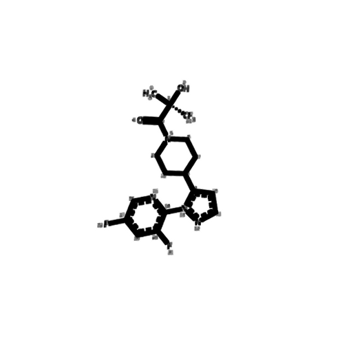 C[C@@](O)(C(=O)N1CCC(c2ccnn2-c2ncc(F)cc2F)CC1)C(F)(F)F